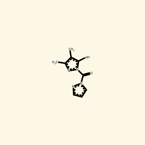 CCCc1c(C)c(C)nn1C(=O)n1cccn1